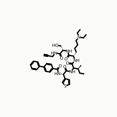 C#CCNC(=O)[C@H](CO)NC(=O)[C@H](CCCCN(CC)CC)NC(=O)C(NC(=O)[C@@H](NC(=O)c1ccc(-c2ccccc2)cc1)c1ccsc1)[C@@H](C)CC